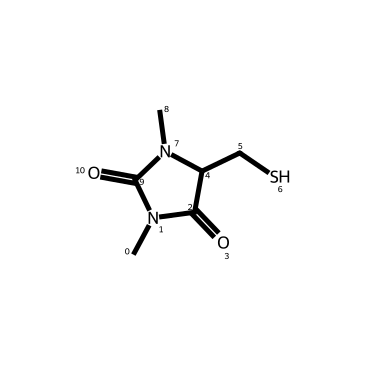 CN1C(=O)C(CS)N(C)C1=O